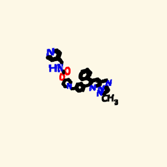 Cc1cc2ncc3cc(-c4ccccc4)c(-c4ccc(CN5CCC(OC(=O)NCc6ccncc6)CC5)cc4)nc3n2n1